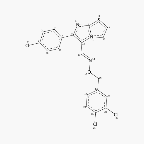 Clc1ccc(-c2nc3sccn3c2/C=N/OCc2ccc(Cl)c(Cl)c2)cc1